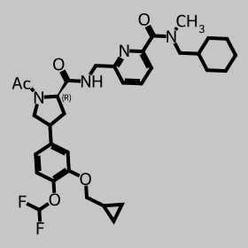 CC(=O)N1CC(c2ccc(OC(F)F)c(OCC3CC3)c2)C[C@@H]1C(=O)NCc1cccc(C(=O)N(C)CC2CCCCC2)n1